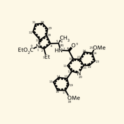 CCOC(=O)n1c(CC)c([C@@H](C)NC(=O)c2cc(-c3cccc(OC)c3)nc3ccc(OC)cc23)c2ccccc21